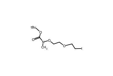 CN(OCCOCCI)C(=O)OC(C)(C)C